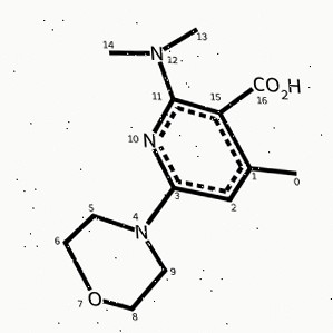 Cc1cc(N2CCOCC2)nc(N(C)C)c1C(=O)O